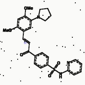 COc1cc(OC)c(N2CCCC2)cc1/C=C/C(=O)c1ccc(S(=O)(=O)Nc2ccccn2)cc1